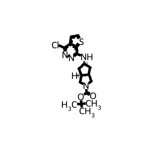 CC(C)(C)OC(=O)N1CC2C[C@@H](Nc3nnc(Cl)c4ccsc34)C[C@@H]2C1